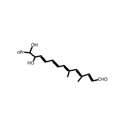 CCCC(O)C(O)/C=C/C=C/C=C(C)/C=C(C)/C=C/C=O